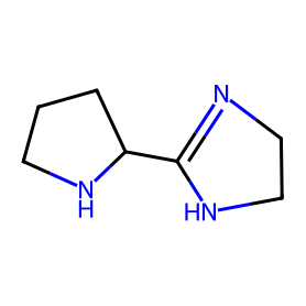 C1CNC(C2=NCCN2)C1